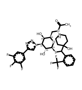 CC(=O)OC[C@H]1O[C@@H](SC(c2ccccc2C(F)(F)F)C2(O)CCNCC2)[C@H](O)[C@@H](n2cc(-c3cc(F)c(F)c(F)c3)nn2)[C@H]1O